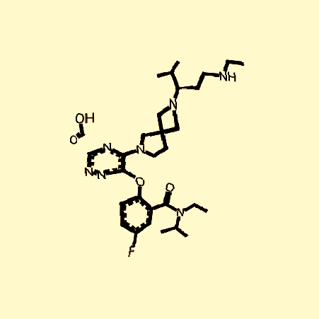 CCNCC[C@H](C(C)C)N1CC2(CCN(c3ncnnc3Oc3ccc(F)cc3C(=O)N(CC)C(C)C)C2)C1.O=CO